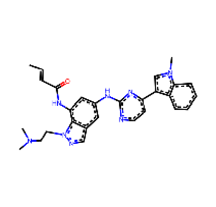 C/C=C/C(=O)Nc1cc(Nc2nccc(-c3cn(C)c4ccccc34)n2)cc2cnn(CCN(C)C)c12